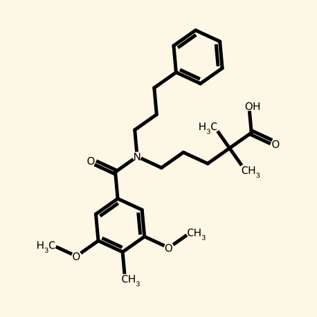 COc1cc(C(=O)N(CCCc2ccccc2)CCCC(C)(C)C(=O)O)cc(OC)c1C